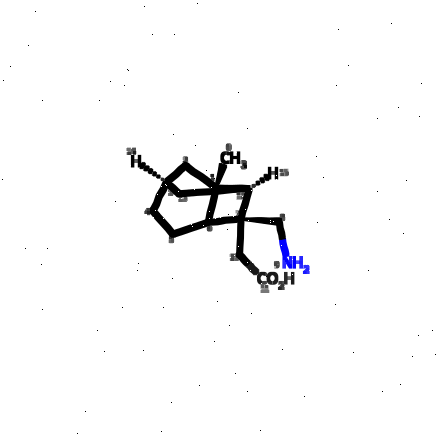 C[C@]12C[C@@H]3CCC1[C@@](CN)(CC(=O)O)[C@H]2C3